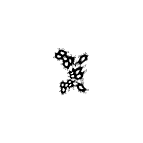 c1ccc(N(c2ccc3c4cccc5cccc(c6cccc2c63)c54)c2ccc3ccc4c(N(c5ccccc5)c5ccc6c7cccc8cccc(c9cccc5c96)c87)ccc5ccc2c3c54)cc1